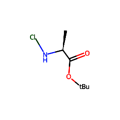 C[C@H](NCl)C(=O)OC(C)(C)C